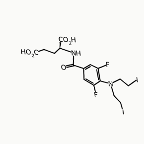 O=C(O)CC[C@H](NC(=O)c1cc(F)c(N(CCI)CCI)c(F)c1)C(=O)O